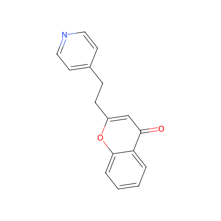 O=c1cc(CCc2ccncc2)oc2ccccc12